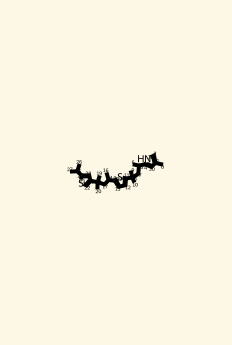 Cc1c[nH]c(C(C)CC(C)(C)c2ccc(C(C)CC(C)(C)c3csc(C(C)C)c3)s2)c1